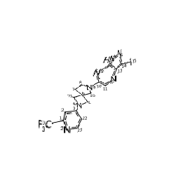 FC(F)(F)c1cc(N2CC3(CCN(c4cnc5c(I)n[nH]c5n4)C3)C2)ccn1